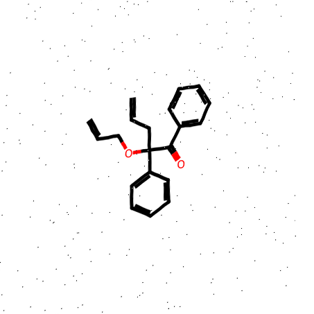 C=CCOC(CC=C)(C(=O)c1ccccc1)c1ccccc1